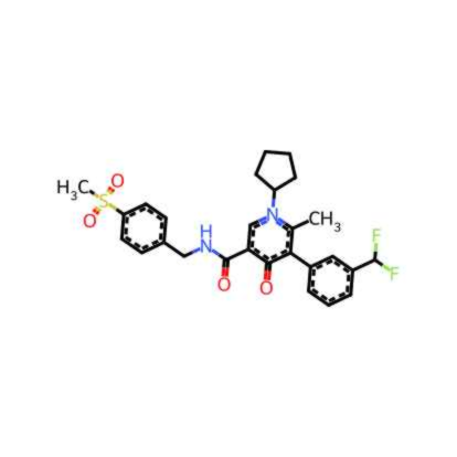 Cc1c(-c2cccc(C(F)F)c2)c(=O)c(C(=O)NCc2ccc(S(C)(=O)=O)cc2)cn1C1CCCC1